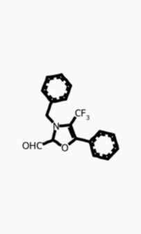 O=CC1OC(c2ccccc2)=C(C(F)(F)F)N1Cc1ccccc1